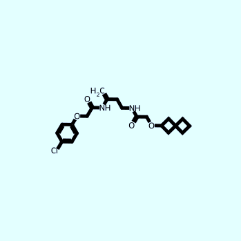 C=C(CCNC(=O)COC1CC2(CCC2)C1)NC(=O)COc1ccc(Cl)cc1